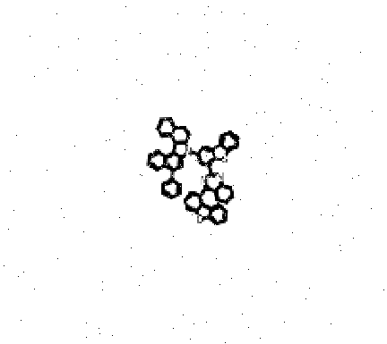 c1ccc(-c2cc3c(c4ccccc24)c2c4ccccc4ccc2n3-c2cc(-c3nc(-c4cccc5oc6ccccc6c45)c4ccccc4n3)c3sc4ccccc4c3c2)cc1